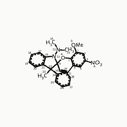 COc1cc([N+](=O)[O-])cc2c1OC1(C=C2)N(N(C)C)c2ccccc2C1(C)c1ccccc1